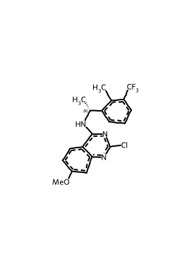 COc1ccc2c(N[C@H](C)c3cccc(C(F)(F)F)c3C)nc(Cl)nc2c1